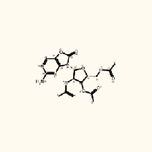 C=C(C)O[C@@H]1[C@H](OC(C)=O)[C@@H](COC(C)=O)O[C@H]1n1c(=O)oc2cnc(N)nc21